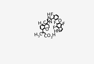 C[C@H](CC(=O)O)c1cccc2c1OCC[C@@]2(C)c1c[nH]c(-c2cc(Oc3c(F)c(F)c4[nH]ccc4c3F)ccc2F)n1